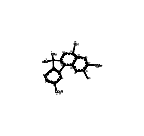 CCCCC1(CCCC)c2ccc(C(=O)O)cc2-c2c1cc(O)c1cc(OC)c(C)cc21